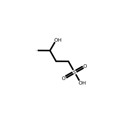 [CH2]C(O)CCS(=O)(=O)O